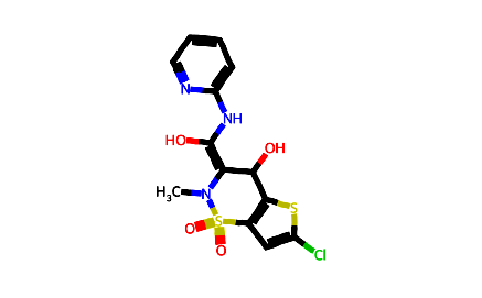 CN1/C(=C(\O)Nc2ccccn2)C(O)c2sc(Cl)cc2S1(=O)=O